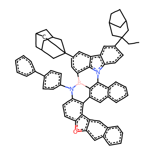 CCC1(c2ccc3c(c2)c2cc(C45CC6CC(CC(C6)C4)C5)cc4c2n3-c2c3c(cc5ccccc25)-c2c(ccc5oc6cc7ccccc7cc6c25)N(c2ccc(-c5ccccc5)cc2)B34)CC2CCC(C2)C1